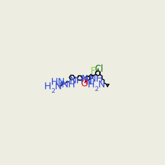 N=C(CN)NCC[C@@H]1CCC[C@@H](c2ccc(-n3cc4cc(-c5cc(CCC[C@@H](N)C6CC6)cc(Cl)c5F)[nH]c4nc3=O)cc2)N1